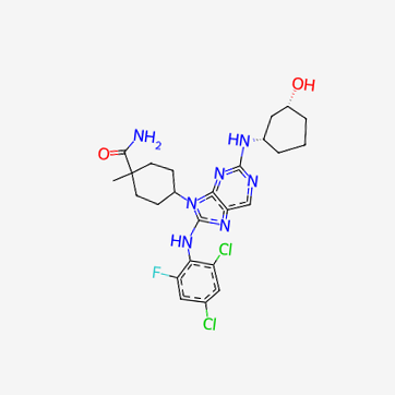 CC1(C(N)=O)CCC(n2c(Nc3c(F)cc(Cl)cc3Cl)nc3cnc(N[C@H]4CCC[C@@H](O)C4)nc32)CC1